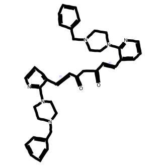 O=C(/C=C/c1cccnc1N1CCN(Cc2ccccc2)CC1)CC(=O)/C=C/c1cccnc1N1CCN(Cc2ccccc2)CC1